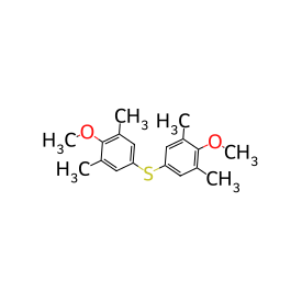 COc1c(C)cc(Sc2cc(C)c(OC)c(C)c2)cc1C